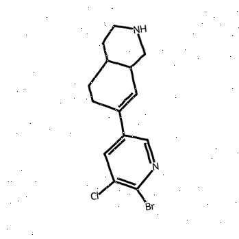 Clc1cc(C2=CC3CNCCC3CC2)cnc1Br